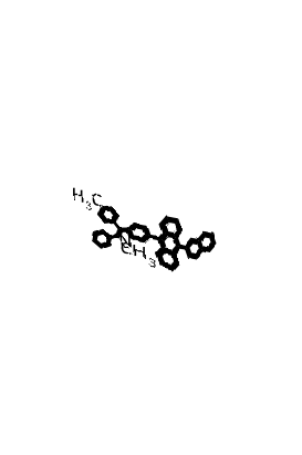 Cc1ccc(-c2c(-c3ccccc3)n(C)c3cc(-c4c5ccccc5c(-c5ccc6ccccc6c5)c5ccccc45)ccc23)cc1